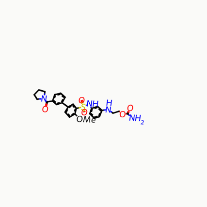 COc1ccc(-c2cccc(C(=O)N3CCCC3)c2)cc1S(=O)(=O)Nc1cccc(NCCOC(N)=O)c1